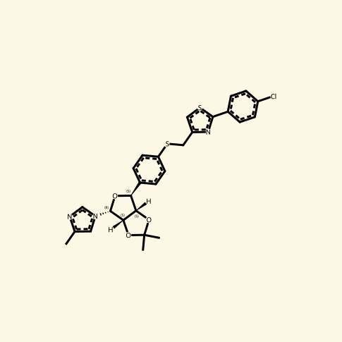 Cc1cn([C@@H]2O[C@@H](c3ccc(SCc4csc(-c5ccc(Cl)cc5)n4)cc3)[C@@H]3OC(C)(C)O[C@@H]32)cn1